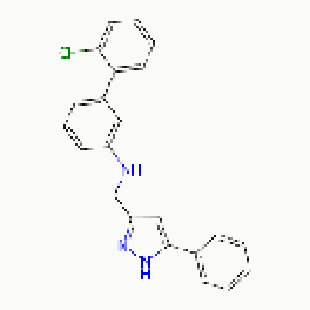 Clc1ccccc1-c1cccc(NCc2cc(-c3ccccc3)[nH]n2)c1